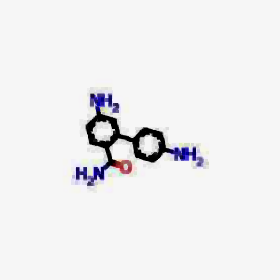 NC(=O)c1ccc(N)cc1-c1ccc(N)cc1